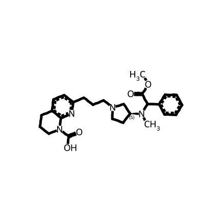 COC(=O)C(c1ccccc1)N(C)[C@H]1CCN(CCCc2ccc3c(n2)N(C(=O)O)CCC3)C1